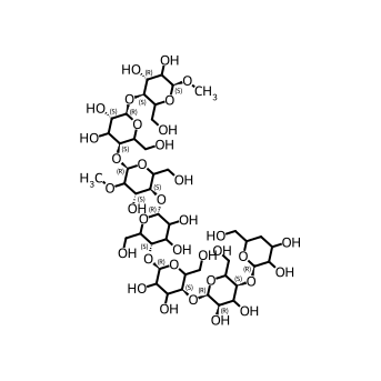 COC1[C@@H](O[C@@H]2C(CO)O[C@H](O[C@@H]3C(CO)O[C@H](OC)C(O)[C@H]3O)[C@@H](O)C2O)OC(CO)[C@@H](O[C@H]2OC(CO)[C@@H](O[C@H]3OC(CO)[C@@H](O[C@H]4OC(CO)[C@@H](O[C@H]5OC(CO)CC(O)C5O)C(O)[C@H]4O)C(O)C3O)C(O)C2O)[C@@H]1O